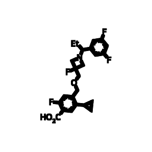 CCC(c1cc(F)cc(F)c1)N1CC(F)(COCc2cc(F)c(C(=O)O)cc2C2CC2)C1